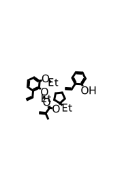 C=C(C)C(=O)OC1(CC)CCCC1.C=Cc1cccc(OCC)c1OCC.C=Cc1ccccc1O